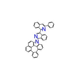 c1ccc(-c2cc3ccccc3c(-c3cnc(-n4c5cccc6c5c5c7c(cccc7ccc54)-c4ccccc4-6)c4ccccc34)n2)cc1